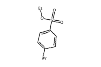 CCOS(=O)(=O)c1ccc(C(C)C)cc1